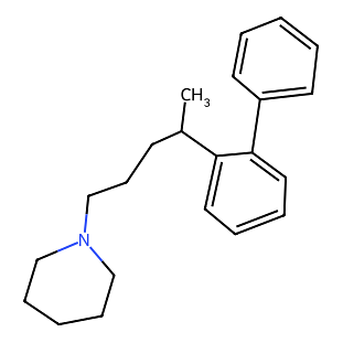 CC(CCCN1CCCCC1)c1ccccc1-c1ccccc1